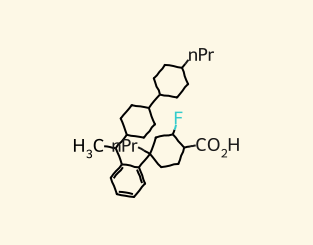 CCCC1CCC(C2CCC(C(C)c3ccccc3C3(CCC)CCC(C(=O)O)C(F)C3)CC2)CC1